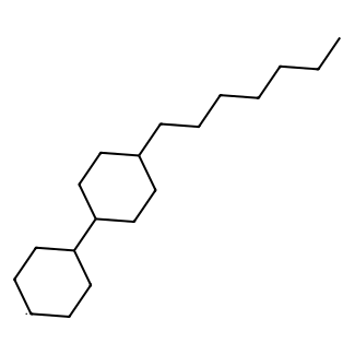 CCCCCCCC1CCC(C2CC[CH]CC2)CC1